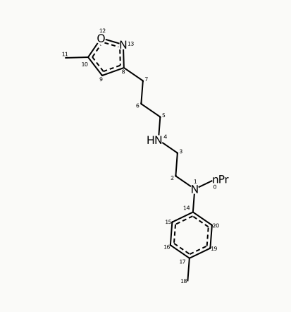 CCCN(CCNCCCc1cc(C)on1)c1ccc(C)cc1